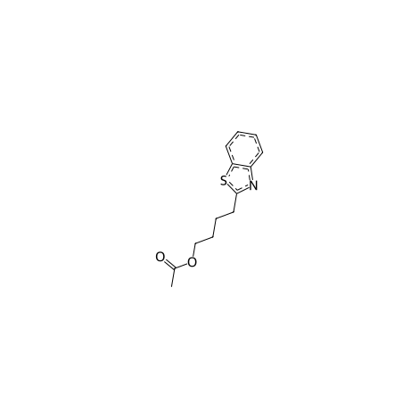 CC(=O)OCCCCc1nc2ccccc2s1